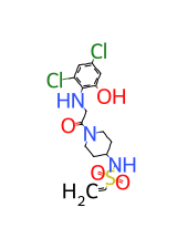 C=CS(=O)(=O)NC1CCN(C(=O)CNc2c(O)cc(Cl)cc2Cl)CC1